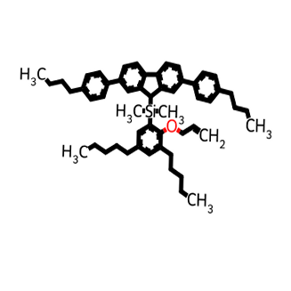 C=CCOc1c(CCCCC)cc(CCCCC)cc1[Si](C)(C)C1c2cc(-c3ccc(CCCC)cc3)ccc2-c2ccc(-c3ccc(CCCC)cc3)cc21